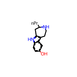 CCCC1Cc2[nH]c3ccc(O)cc3c2CCN1